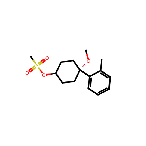 CO[C@]1(c2ccccc2C)CC[C@@H](OS(C)(=O)=O)CC1